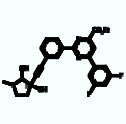 CCOC(=O)c1cc(-c2cc(F)cc(F)c2)nc(-c2cccc(C#C[C@]3(O)CCN(C)C3O)c2)n1